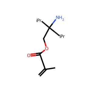 C=C(C)C(=O)OCC(N)(C(C)C)C(C)C